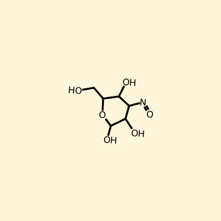 O=NC1C(O)C(O)OC(CO)C1O